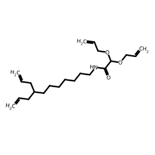 C=CCOC(OCC=C)C(=O)NCCCCCCCC(CC=C)CC=C